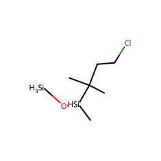 C[SiH](O[SiH3])C(C)(C)CCCl